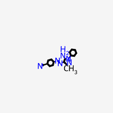 Cc1nn(-c2ccccc2)c(N)c1N=Nc1ccc(C#N)cc1